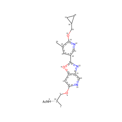 CC(=O)N[C@@H](C)COc1cc2oc(-c3cnc(OCC4CC4)c(C)c3)nc2cn1